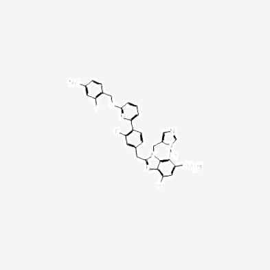 CCn1cncc1Cn1c(Cc2ccc(-c3cccc(OCc4ccc(C#N)cc4F)n3)c(F)c2)nc2c(F)cc(C(=O)O)cc21